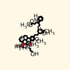 CCC1(O)CC(CCc2cc3c(cc2OC)N(C)C2C4C3CCN3CC=C[C@](CC)(C43)[C@@H](O)[C@]2(O)C(=O)NCCCO)CN(CCc2c(CC(=O)OC)[nH]c3ccccc23)C1